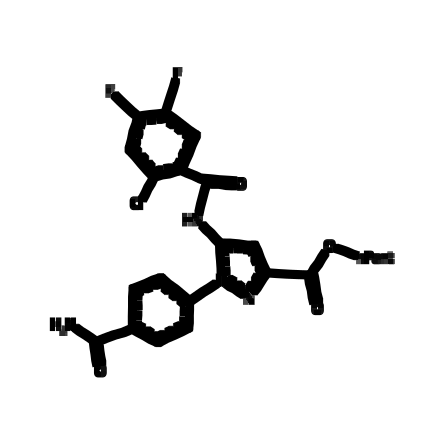 CCCCCOC(=O)c1cc(NC(=O)c2cc(F)c(F)cc2Cl)n(-c2ccc(C(N)=O)cc2)n1